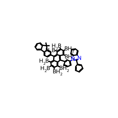 Bc1c(B)c(B)c2c(-c3ccc4c(c3)C(C)(C)c3ccccc3-4)c3c(B)c(B)c(B)c(B)c3c(-c3cccc(-n4c(-c5ccccc5)nc5ccccc54)c3)c2c1B